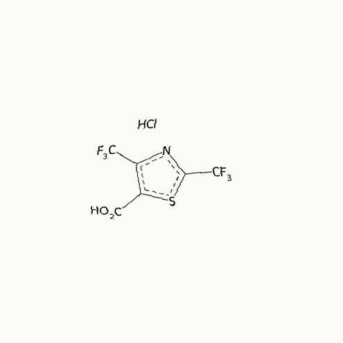 Cl.O=C(O)c1sc(C(F)(F)F)nc1C(F)(F)F